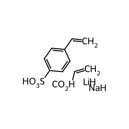 C=CC(=O)O.C=Cc1ccc(S(=O)(=O)O)cc1.[LiH].[NaH]